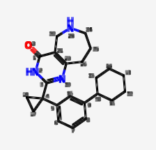 O=c1[nH]c(C2(c3cccc(C4CCCCC4)c3)CC2)nc2c1CNCCC2